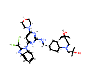 CC(C)(O)CN(CC(C)(C)O)[C@H]1CC[C@H](CNc2nc(N3CCOCC3)cc(-n3c(C(F)F)nc4ccccc43)n2)CC1